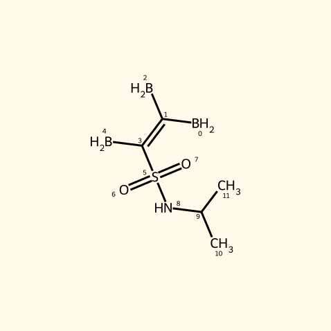 BC(B)=C(B)S(=O)(=O)NC(C)C